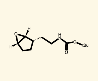 CC(C)(C)OC(=O)NCC[C@@H]1CC[C@@H]2O[C@H]12